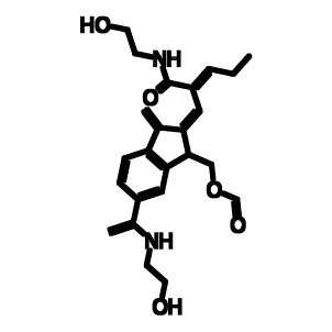 C=C(NCCO)c1ccc2c(c1)C(COC=O)/C(=C/C(=C\CC)C(=O)NCCO)C2=C